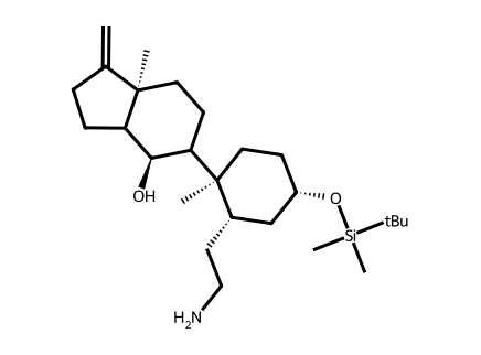 C=C1CCC2[C@H](O)C([C@@]3(C)CC[C@H](O[Si](C)(C)C(C)(C)C)C[C@@H]3CCN)CC[C@]12C